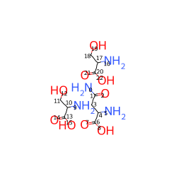 NC(=O)CC(N)C(=O)O.NC(CO)C(=O)O.NC(CO)C(=O)O